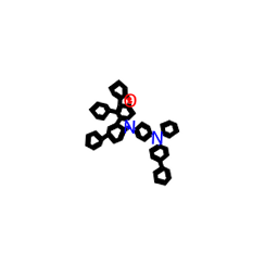 c1ccc(-c2ccc(N(c3ccccc3)c3ccc(-n4c5ccc(-c6ccccc6)cc5c5c(-c6ccccc6)c6c(cc54)oc4ccccc46)cc3)cc2)cc1